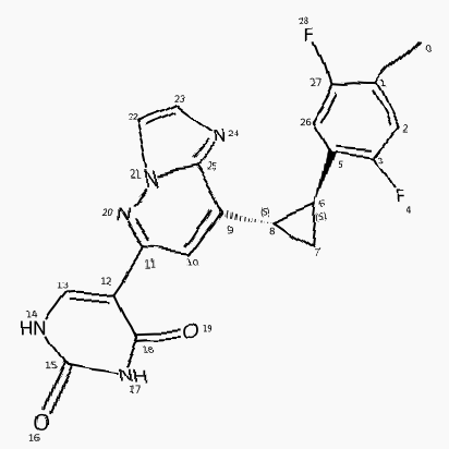 Cc1cc(F)c([C@H]2C[C@@H]2c2cc(-c3c[nH]c(=O)[nH]c3=O)nn3ccnc23)cc1F